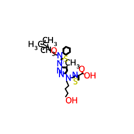 Cc1cc(N(CCCCCO)c2nc(C(=O)O)cs2)nnc1/N=c1\sc2ccccc2n1COCC[Si](C)(C)C